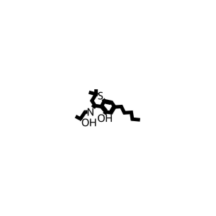 CCCCCc1cc(O)c2c(c1)SC(C)(C)CC2=NCC(C)O